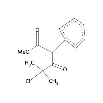 COC(=O)C(C(=O)C(C)(C)Cl)c1ccccc1